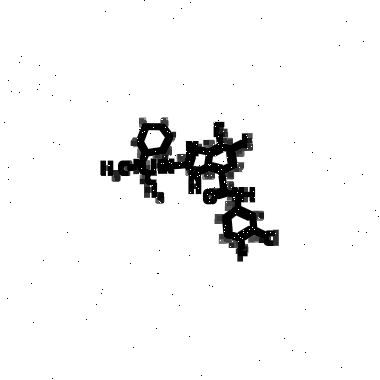 CN(C)C1CCCC[C@@H]1Nc1nc2c(F)c(F)cc(C(=O)Nc3ccc(F)c(Cl)c3)c2[nH]1